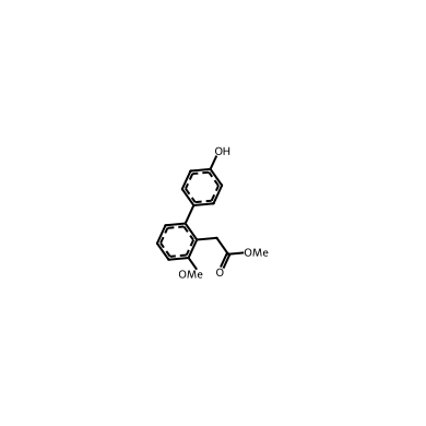 COC(=O)Cc1c(OC)cccc1-c1ccc(O)cc1